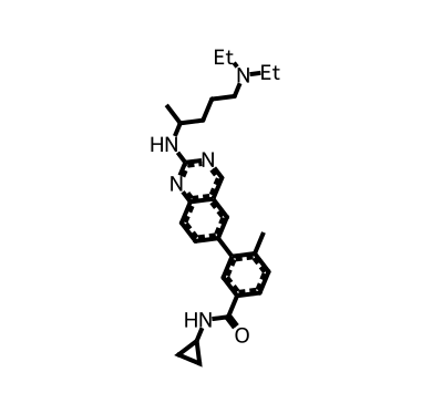 CCN(CC)CCCC(C)Nc1ncc2cc(-c3cc(C(=O)NC4CC4)ccc3C)ccc2n1